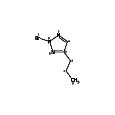 CCCc1cnn(Br)n1